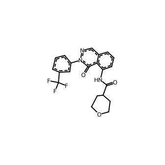 O=C(Nc1cccc2cnn(-c3cccc(C(F)(F)F)c3)c(=O)c12)C1CCOCC1